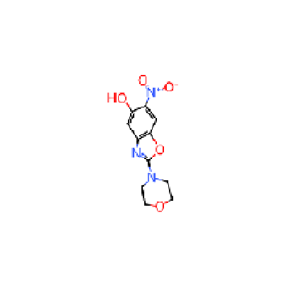 O=[N+]([O-])c1cc2oc(N3CCOCC3)nc2cc1O